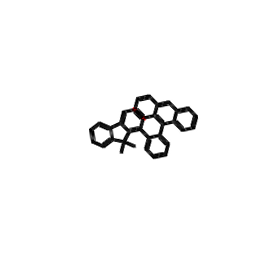 CC1(C)c2ccccc2-c2cccc(-c3ccccc3-c3c4ccccc4cc4ccccc34)c21